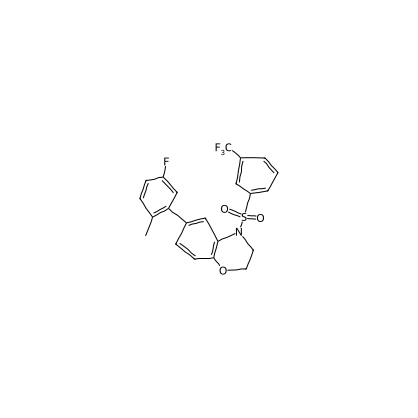 Cc1ccc(F)cc1-c1ccc2c(c1)N(S(=O)(=O)c1cccc(C(F)(F)F)c1)CCO2